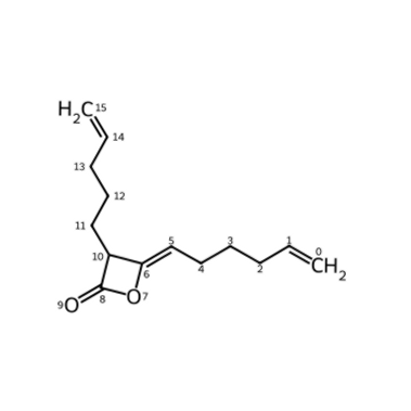 C=CCCCC=C1OC(=O)C1CCCC=C